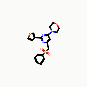 O=S(=O)(Cc1cc(N2CCOCC2)nc(-c2ccsc2)n1)c1ccccc1